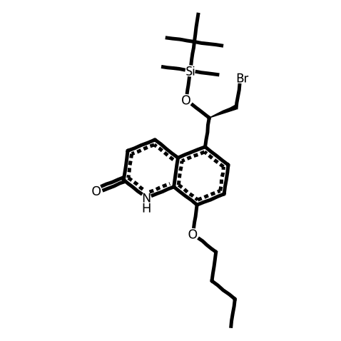 CCCCOc1ccc([C@H](CBr)O[Si](C)(C)C(C)(C)C)c2ccc(=O)[nH]c12